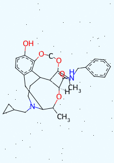 C/C=C1/OCOc2c(O)ccc3c2C2CCN(CC4CC4)C(C3)C(C)O[C@H](C(=O)NCc3ccccc3)C12